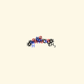 CC(CC(=O)N1CCC(O)(Cn2cnn3c(OC(=O)NN4CCc5ccccc54)cnc3c2=O)CC1)c1ccccc1